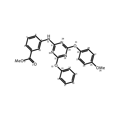 COC(=O)c1cccc(Nc2nc(Oc3ccccc3)nc(Oc3ccc(OC)cc3)n2)c1